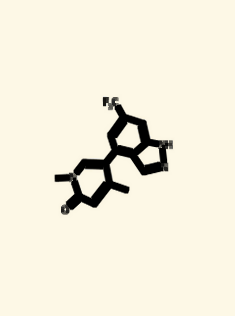 Cc1cc(=O)n(C)cc1-c1cc(C(F)(F)F)cc2[nH]ncc12